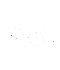 COc1cc(Cl)c(-c2oc(=N)sc2C)cc1C